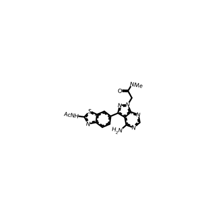 CNC(=O)Cn1nc(-c2ccc3nc(NC(C)=O)sc3c2)c2c(N)ncnc21